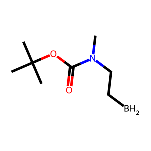 BCCN(C)C(=O)OC(C)(C)C